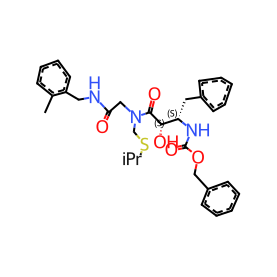 Cc1ccccc1CNC(=O)CN(CSC(C)C)C(=O)[C@@H](O)[C@H](Cc1ccccc1)NC(=O)OCc1ccccc1